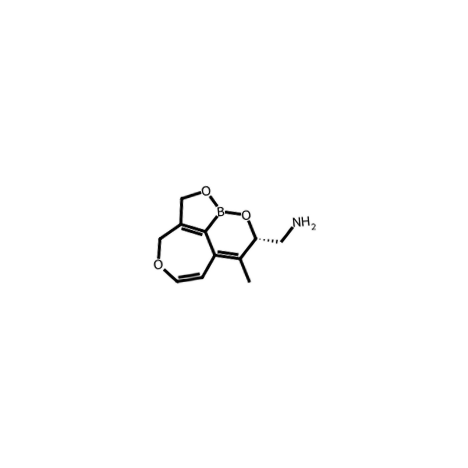 CC1=C2C=COCC3=C2B(OC3)O[C@@H]1CN